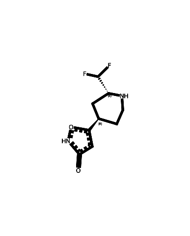 O=c1cc([C@@H]2CCN[C@@H](C(F)F)C2)o[nH]1